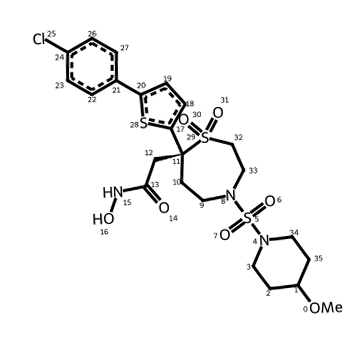 COC1CCN(S(=O)(=O)N2CC[C@](CC(=O)NO)(c3ccc(-c4ccc(Cl)cc4)s3)S(=O)(=O)CC2)CC1